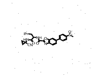 CC(C)CC(NC(=O)c1nc2ccc(-c3ccc([S+](C)[O-])cc3)cc2o1)C(=O)NC1(C#N)CC1